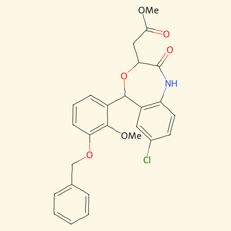 COC(=O)CC1OC(c2cccc(OCc3ccccc3)c2OC)c2cc(Cl)ccc2NC1=O